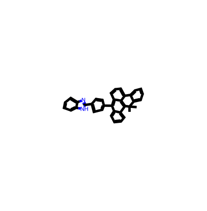 CC1(C)c2ccccc2-c2cccc3c(-c4ccc(-c5nc6ccccc6[nH]5)cc4)c4ccccc4c1c23